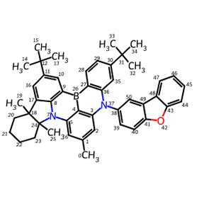 Cc1cc2c3c(c1)N1c4c(cc(C(C)(C)C)cc4C4(C)CCCCC14C)B3c1ccc(C(C)(C)C)cc1N2c1ccc2oc3ccccc3c2c1